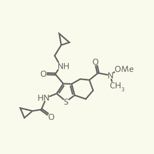 CON(C)C(=O)C1CCc2sc(NC(=O)C3CC3)c(C(=O)NCC3CC3)c2C1